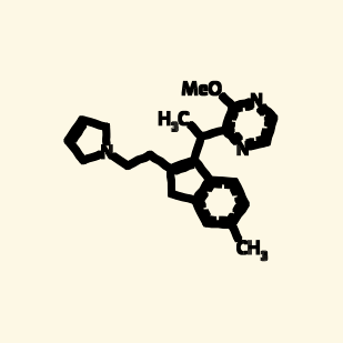 COc1nccnc1C(C)C1=C(CCN2CC=CC2)Cc2cc(C)ccc21